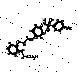 CC(=O)c1ccc(S(=O)(=O)Nc2ccc(OCCOc3ccccc3CCC(=O)O)cc2)cc1